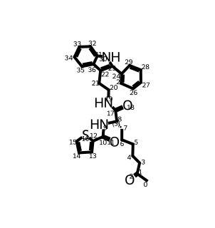 CC(=O)CCCCC[C@H](NC(=O)c1cccs1)C(=O)NCCc1c(-c2ccccc2)[nH]c2ccccc12